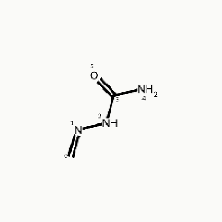 [CH]=NNC(N)=O